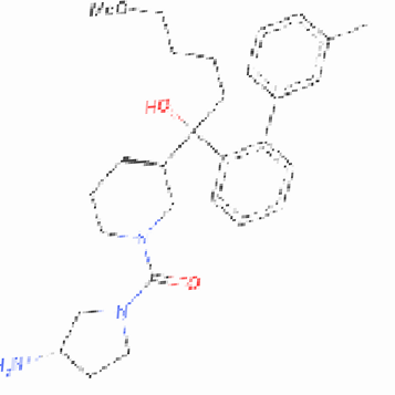 COCCCC[C@@](O)(c1ccccc1-c1cccc(C)c1)[C@@H]1CCCN(C(=O)N2CC[C@H](N)C2)C1